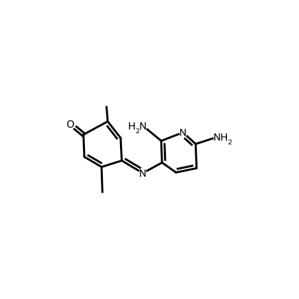 CC1=CC(=Nc2ccc(N)nc2N)C(C)=CC1=O